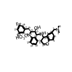 CN(C)Cc1ccc2c(c1)C(NC[C@H](O)[C@H](Cc1cc(F)cc(F)c1)N(C(=O)O)c1ccccc1)CCO2